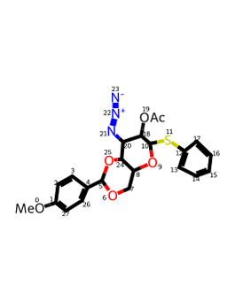 COc1ccc(C2OCC3OC(Sc4ccccc4)C(OC(C)=O)C(N=[N+]=[N-])C3O2)cc1